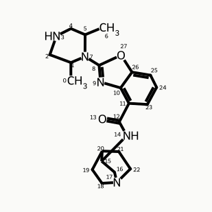 CC1CNCC(C)N1c1nc2c(C(=O)NC3CN4CCC3CC4)cccc2o1